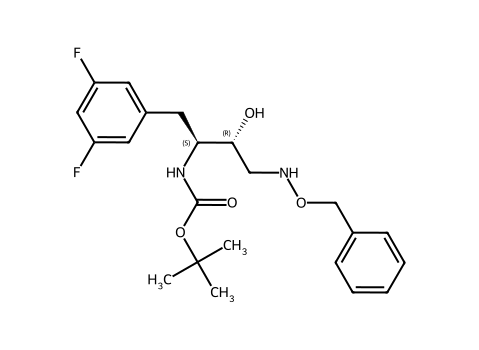 CC(C)(C)OC(=O)N[C@@H](Cc1cc(F)cc(F)c1)[C@H](O)CNOCc1ccccc1